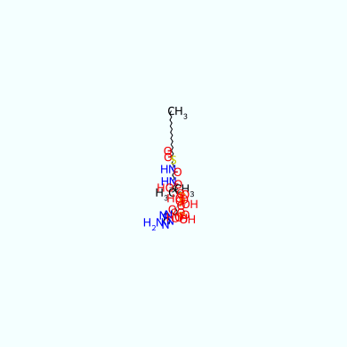 CCCCCCCCCCCCCC(=O)CC(=O)SCCNC(=O)CCNC(=O)[C@H](O)C(C)(C)COP(=O)(O)OP(=O)(O)OC[C@H]1O[C@@H](n2cnc3c(N)ncnc32)C(O)[C@H]1OP(=O)(O)O